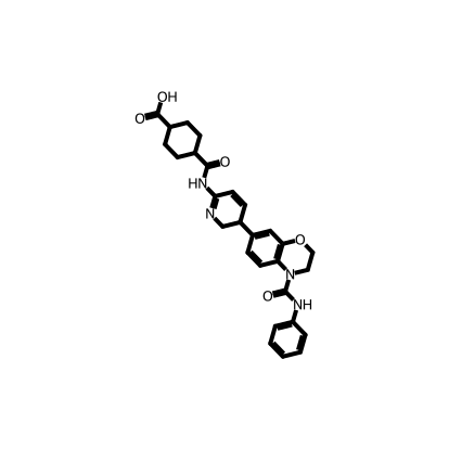 O=C(O)C1CCC(C(=O)NC2=NCC(c3ccc4c(c3)OCCN4C(=O)Nc3ccccc3)C=C2)CC1